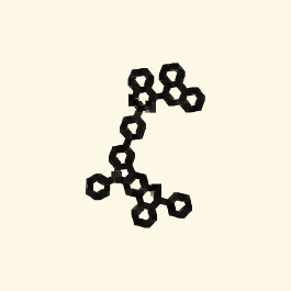 c1ccc(-c2nc3cc4c5cc(-c6ccc(-c7nc(-c8cc9ccccc9c9ccccc89)c8ccccc8n7)cc6)ccc5n(-c5ccccc5)c4cc3c3ccccc23)cc1